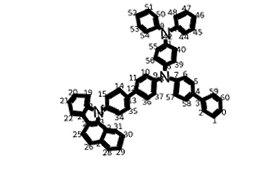 c1ccc(-c2ccc(N(c3ccc(-c4ccc(-n5c6ccccc6c6ccc7ccccc7c65)cc4)cc3)c3ccc(N(c4ccccc4)c4ccccc4)cc3)cc2)cc1